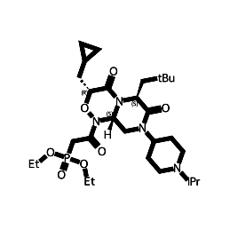 CCOP(=O)(CC(=O)N1O[C@H](CC2CC2)C(=O)N2[C@@H]1CN(C1CCN(C(C)C)CC1)C(=O)[C@@H]2CC(C)(C)C)OCC